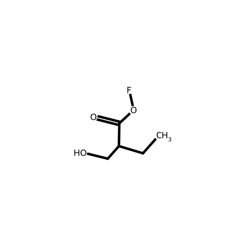 CCC(CO)C(=O)OF